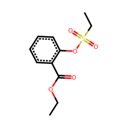 CCOC(=O)c1ccccc1OS(=O)(=O)CC